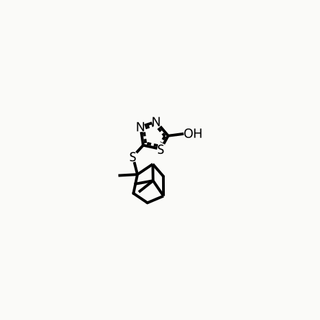 CC1(Sc2nnc(O)s2)CCC2CC1C2(C)C